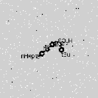 CCCCCCCOc1ccc(-c2ccc(-c3ccc(C[C@H](NC(=O)c4ccc(C(C)(C)C)cc4)C(=O)O)cc3)nn2)cc1